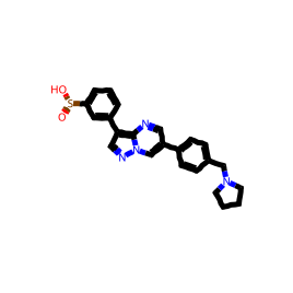 O=S(O)c1cccc(-c2cnn3cc(-c4ccc(CN5CCCC5)cc4)cnc23)c1